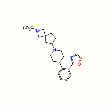 O=C(O)N1CC2(CCC(N3CCC(c4ccccc4-c4ncco4)CC3)C2)C1